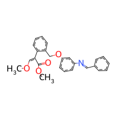 COC=C(C(=O)OC)c1ccccc1COc1cccc(N=Cc2ccccc2)c1